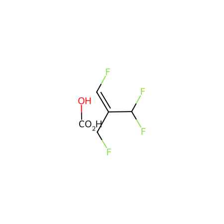 FC=C(CF)C(F)F.O=C(O)O